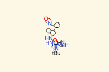 CC(C)(C)C1=N[N+](C)(c2cn[nH]c2)C(NC(=O)Nc2ccc(-c3ccccc3CN3CCOCC3)c3ccccc23)=C1